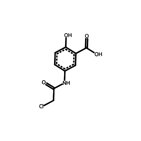 O=C(CCl)Nc1ccc(O)c(C(=O)O)c1